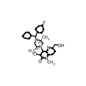 C[C@@H]1CN(c2c(Cl)c(=O)n(C)c3ccc(CO)nc23)[C@@H](C)CN1C(c1ccccc1)c1ccc(F)cc1